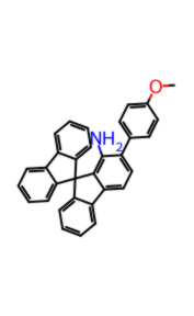 COc1ccc(-c2ccc3c(c2N)C2(c4ccccc4-c4ccccc42)c2ccccc2-3)cc1